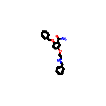 NC(=O)c1cc(OCCNCc2ccccc2)ccc1OCc1ccccc1